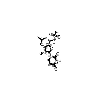 CC(C)O[C@H]1[C@@H](F)[C@H](n2ccc(=O)[nH]c2=O)O[C@@H]1CNS(C)(=O)=O